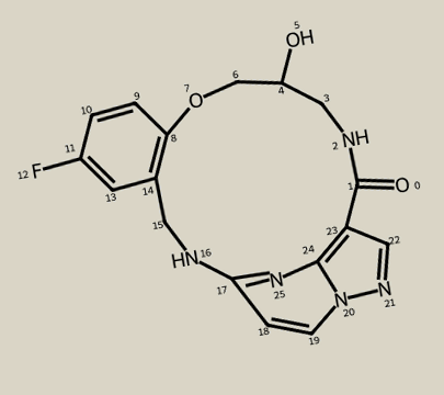 O=C1NCC(O)COc2ccc(F)cc2CNc2ccn3ncc1c3n2